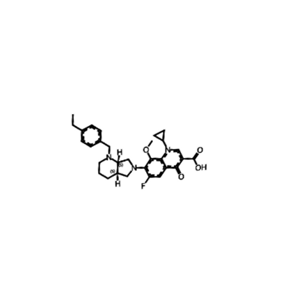 CCc1ccc(CN2CCC[C@H]3CN(c4c(F)cc5c(=O)c(C(=O)O)cn(C6CC6)c5c4OC)C[C@H]32)cc1